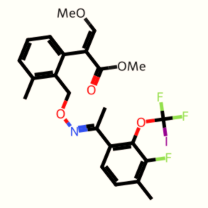 CO/C=C(/C(=O)OC)c1cccc(C)c1CO/N=C(\C)c1ccc(C)c(F)c1OC(F)(F)I